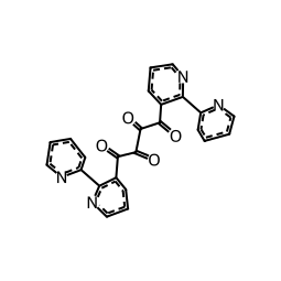 O=C(C(=O)C(=O)c1cccnc1-c1ccccn1)C(=O)c1cccnc1-c1ccccn1